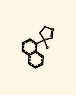 [O-][N+]1(c2cccc3ccccc23)C=NCC1